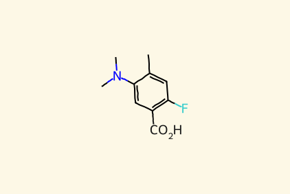 Cc1cc(F)c(C(=O)O)cc1N(C)C